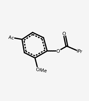 COc1cc(C(C)=O)ccc1OC(=O)C(C)C